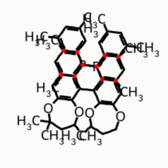 Cc1cc(C)cc(P(c2cc(C)cc(C)c2)c2ccc3c(c2-c2c(P(c4cc(C)cc(C)c4)c4cc(C)cc(C)c4)ccc4c2OC(C)CC(C)(C)O4)OC(C)CCO3)c1